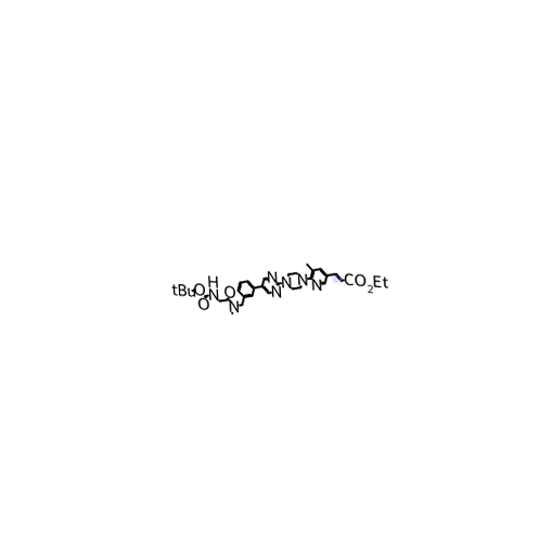 CCOC(=O)/C=C/c1cnc(N2CCN(c3ncc(-c4cccc(CN(C)C(=O)CNC(=O)OC(C)(C)C)c4)cn3)CC2)c(C)c1